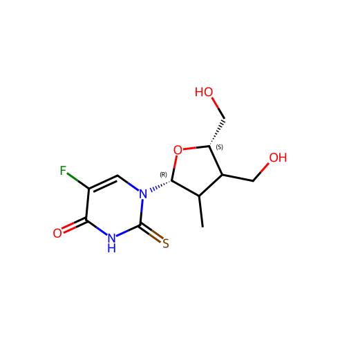 CC1C(CO)[C@@H](CO)O[C@H]1n1cc(F)c(=O)[nH]c1=S